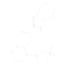 CN(CC(F)(F)F)c1ccccc1C[S+]([O-])c1nc2ccccc2[nH]1